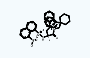 C[C@@](Cc1c[nH]c2ccccc12)(NS(=O)(=O)c1cccc2cccc([N+](=O)[O-])c12)C(=O)NCC1(c2ccccn2)CCCCC1